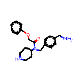 NCc1ccc(CN(C(=O)COc2ccccc2)C2CCNCC2)cc1